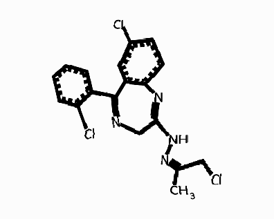 CC(CCl)=NNC1=Nc2ccc(Cl)cc2C(c2ccccc2Cl)=NC1